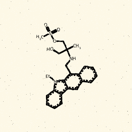 CCn1c2ccccc2c2cc3ccccc3c(CNC(C)(CO)COS(C)(=O)=O)c21